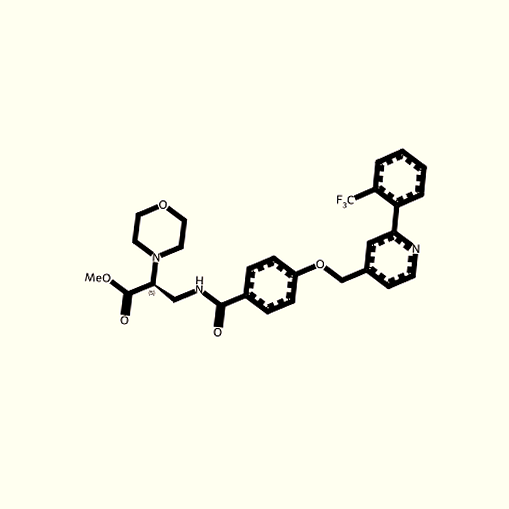 COC(=O)[C@H](CNC(=O)c1ccc(OCc2ccnc(-c3ccccc3C(F)(F)F)c2)cc1)N1CCOCC1